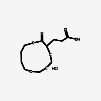 Cl.O=C(O)CCC1CCCCCCCCCCC1=O